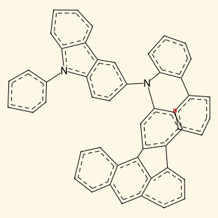 c1ccc(-c2ccccc2N(c2ccc3c(c2)-c2c4ccccc4cc4cccc-3c24)c2ccc3c(c2)c2ccccc2n3-c2ccccc2)cc1